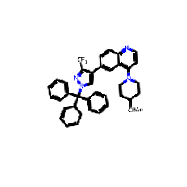 COC1CCN(c2ccnc3ccc(-c4cn(C(c5ccccc5)(c5ccccc5)C5C=CC=CC5)nc4C(F)(F)F)cc23)CC1